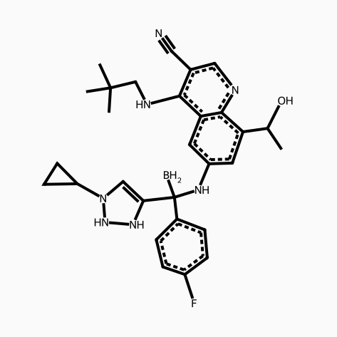 BC(Nc1cc(C(C)O)c2ncc(C#N)c(NCC(C)(C)C)c2c1)(C1=CN(C2CC2)NN1)c1ccc(F)cc1